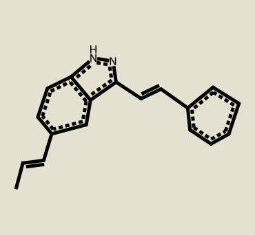 C/C=C/c1ccc2[nH]nc(/C=C/c3ccccc3)c2c1